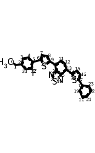 CCc1ccc(-c2ccc(-c3ccc(-c4ccc(-c5ccccc5)s4)c4nsnc34)s2)c(F)c1